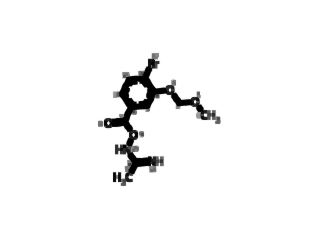 COCOc1cc(C(=O)ONC(C)=N)ccc1Br